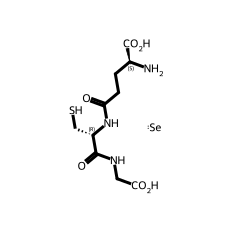 N[C@@H](CCC(=O)N[C@@H](CS)C(=O)NCC(=O)O)C(=O)O.[Se]